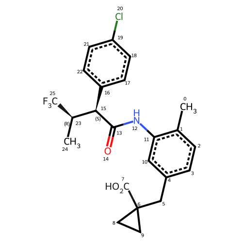 Cc1ccc(CC2(C(=O)O)CC2)cc1NC(=O)[C@H](c1ccc(Cl)cc1)[C@@H](C)C(F)(F)F